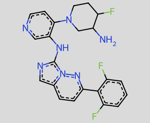 NC1CN(c2ccncc2Nc2ncc3ccc(-c4c(F)cccc4F)nn23)CCC1F